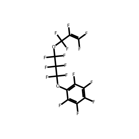 FC(F)=C(F)C(F)(F)OC(F)(F)C(F)(F)C(F)(F)Oc1c(F)c(F)c(F)c(F)c1F